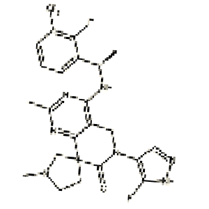 Cc1nc(N[C@H](C)c2cccc(C(F)(F)F)c2F)c2c(n1)C1(CCN(C)C1)C(=O)N(c1cn[nH]c1F)C2